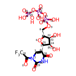 O=C(n1cc([C@@H]2O[C@H](COP(=O)(O)OP(=O)(O)OP(=O)(O)O)[C@@H](O)[C@H]2O)c(=O)[nH]c1=O)C(F)(F)F